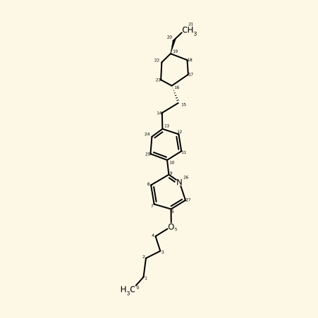 CCCCCOc1ccc(-c2ccc(CC[C@H]3CC[C@H](CC)CC3)cc2)nc1